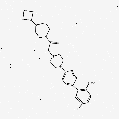 COc1ccc(F)cc1-c1ccc(N2CCN(CC(=O)N3CCN(C4CCC4)CC3)CC2)cc1